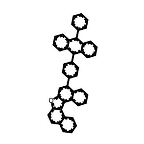 c1ccc(-c2c3ccccc3c(-c3ccc(-c4cc5oc6ccc7ccccc7c6c5c5ccccc45)cc3)c3ccccc23)cc1